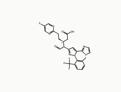 O=CN(c1cc(-c2nccs2)n(-c2c(F)cccc2C(F)(F)F)n1)[C@@H](CCc1ncc(F)cn1)CC(=O)O